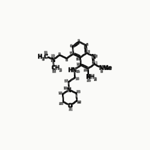 CNc1nc2cccc(CCN(C)C)c2c(NCCN2CCOCC2)c1N